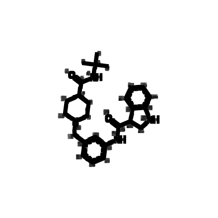 CC(C)(C)NC(=O)C1CCN(Cc2cccc(NC(=O)C3CNc4ccccc43)c2)CC1